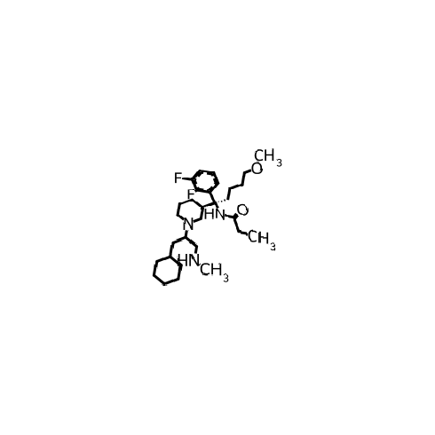 CCC(=O)N[C@](CCCCOC)(c1cccc(F)c1F)C1CCCN(C(CNC)CC2CCCCC2)C1